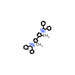 Cc1cc(-c2ccc(-n3nc(-c4ccccc4)c(-c4ccccc4)n3)c(C)c2)ccc1-n1nc(-c2ccccc2)c(-c2ccccc2)n1